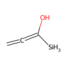 C=C=C(O)[SiH3]